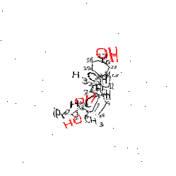 CC(C)[C@@H](O)[C@H](O)[C@@H](C)[C@H]1CC[C@H]2[C@@H]3CC=C4C[C@@H](O)CC[C@]4(C)[C@H]3CC[C@]12C